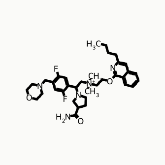 CCCCc1cc2ccccc2c(OCC[N+](C)(C)CC(c2cc(F)c(CN3CCOCC3)cc2F)N2CCC(C(N)=O)C2)n1